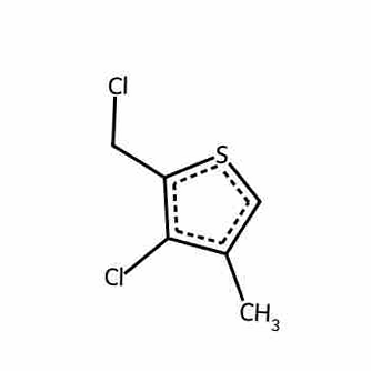 Cc1csc(CCl)c1Cl